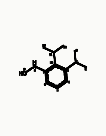 CC(C)c1cccc(NO)c1C(C)C